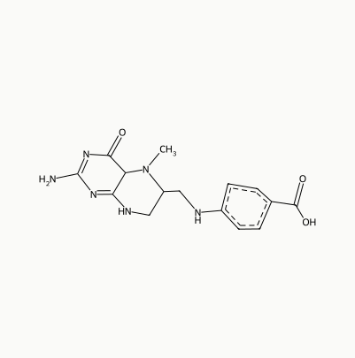 CN1C(CNc2ccc(C(=O)O)cc2)CNC2=NC(N)=NC(=O)C21